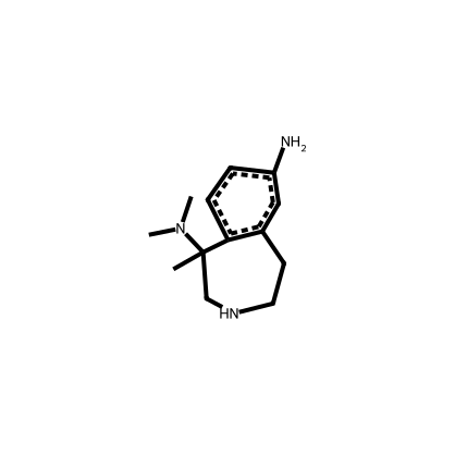 CN(C)C1(C)CNCCc2cc(N)ccc21